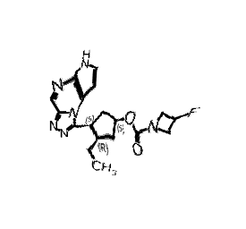 CC[C@@H]1C[C@H](OC(=O)N2CC(F)C2)C[C@@H]1c1nnc2cnc3[nH]ccc3n12